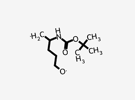 [CH2]C(CCC[O])NC(=O)OC(C)(C)C